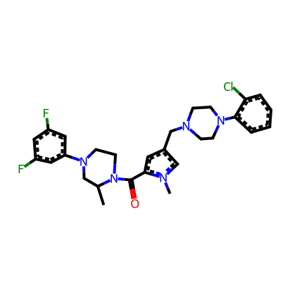 CC1CN(c2cc(F)cc(F)c2)CCN1C(=O)c1cc(CN2CCN(c3ccccc3Cl)CC2)cn1C